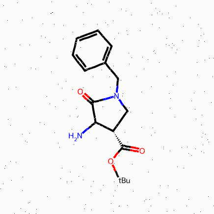 CC(C)(C)OC(=O)[C@H]1CN(Cc2ccccc2)C(=O)C1N